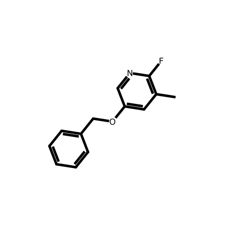 Cc1cc(OCc2ccccc2)cnc1F